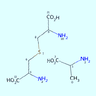 CC(N)C(=O)O.NC(CSCC(N)C(=O)O)C(=O)O